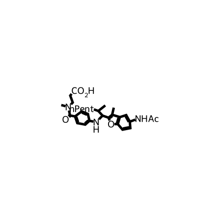 CCCCCC(C)C(Nc1ccc(C(=O)N(C)CCC(=O)O)cc1)c1oc2ccc(NC(C)=O)cc2c1C